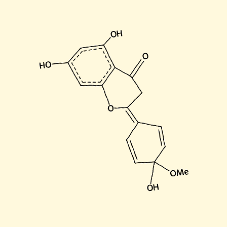 COC1(O)C=CC(=C2CC(=O)c3c(O)cc(O)cc3O2)C=C1